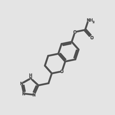 NC(=O)Oc1ccc2c(c1)CCC(Cc1nnn[nH]1)O2